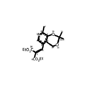 CCOC(=O)C(=Cc1cnc(C)c2c1COC(C)(C)O2)C(=O)OCC